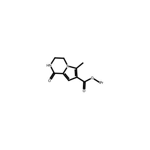 Cc1c(C(=O)OC(C)C)cc2n1CCNC2=O